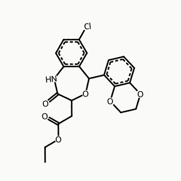 CCOC(=O)CC1OC(c2cccc3c2OCCO3)c2cc(Cl)ccc2NC1=O